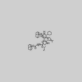 C=CCC[C@@H](NC(=O)[C@@H]1C2C(CN1C(=O)[C@@H](NC(=O)NC13CC4CC(CC(C4)C1)C3)C1CCCCC1)C2(C)C)C(=O)C(=O)NCCC(=O)OC12CC3CC(CC(C3)C1)C2